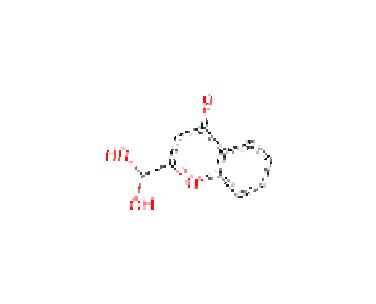 O=c1cc(C(O)O)oc2ccccc12